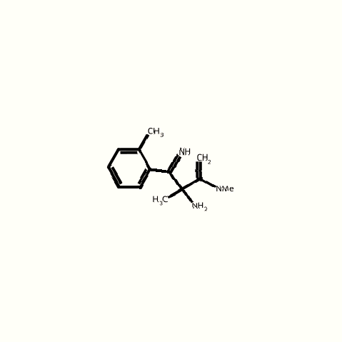 C=C(NC)C(C)(N)C(=N)c1ccccc1C